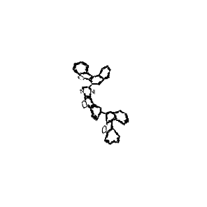 c1ccc2c(c1)cc(-c1ccc3oc4ncc(-c5cc6ccccc6c6c5oc5ccccc56)nc4c3c1)c1oc3ccccc3c12